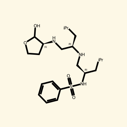 CC(C)C[C@H](CN[C@H]1CCOC1O)NC[C@@H](CC(C)C)NS(=O)(=O)c1ccccc1